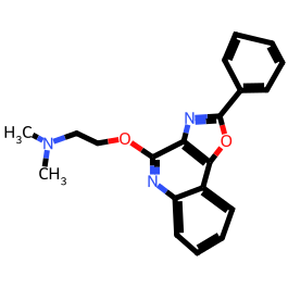 CN(C)CCOc1nc2ccccc2c2oc(-c3ccccc3)nc12